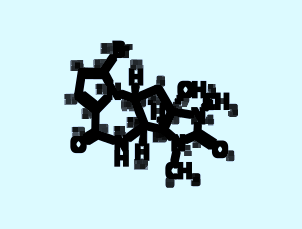 CN1C(=O)N(C)[C@]2(O)C[C@@H]3[C@@H](NC(=O)c4ccc(Br)n43)[C@H]12